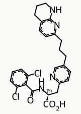 O=C(N[C@@H](Cc1ccc(CCCc2ccc3c(n2)NCCC3)cn1)C(=O)O)c1c(Cl)cccc1Cl